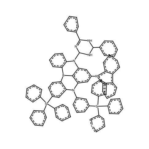 c1ccc(C2=NC(N3c4ccccc4B4c5ccc([Si](c6ccccc6)(c6ccccc6)c6ccccc6)cc5N(c5cccc([Si](c6ccccc6)(c6ccccc6)c6ccccc6)c5)c5cc(-n6c7ccccc7c7ccccc76)cc3c54)NC(c3ccccc3)N2)cc1